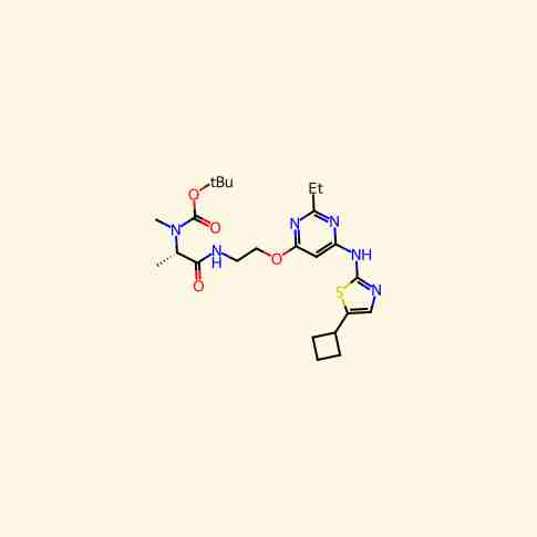 CCc1nc(Nc2ncc(C3CCC3)s2)cc(OCCNC(=O)[C@H](C)N(C)C(=O)OC(C)(C)C)n1